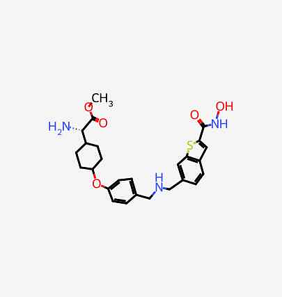 COC(=O)[C@@H](N)C1CCC(Oc2ccc(CNCc3ccc4cc(C(=O)NO)sc4c3)cc2)CC1